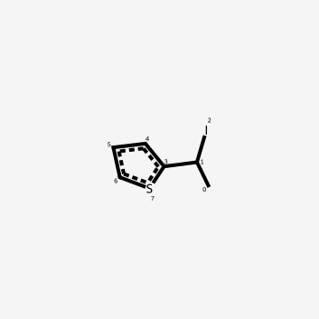 CC(I)c1cccs1